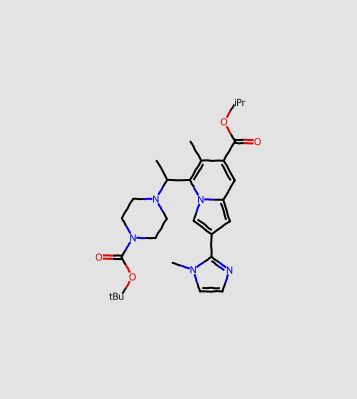 Cc1c(C(=O)OC(C)C)cc2cc(-c3nccn3C)cn2c1C(C)N1CCN(C(=O)OC(C)(C)C)CC1